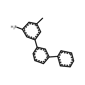 Bc1cc(C)cc(-c2cccc(-c3ccccc3)c2)c1